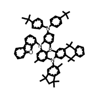 Cc1cc2c3c(c1)N(c1cccc4c1oc1ccccc14)c1cc(N(c4ccc(C(C)(C)C)cc4)c4ccc(C(C)(C)C)cc4)ccc1B3c1cc3c(cc1N2c1cc2c(cc1C)C(C)(C)CC2(C)C)C(C)(C)c1ccccc1C3(C)C